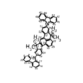 CC1(C)c2cc(-n3c4ccccc4c4ccccc43)ccc2-c2c1cc1c3c(cccc23)C(C)(C)c2cc(-n3c4ccccc4c4ccccc43)ccc2-1